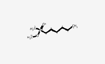 CCCCCCP(C)(=O)OC